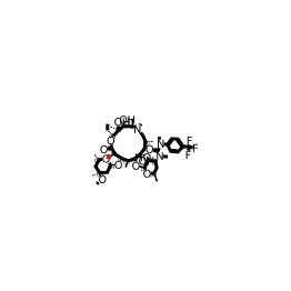 CC[C@H]1OC(=O)[C@H](C)[C@@H](O[C@H]2C[C@@](C)(OC)C[C@H](C)O2)[C@H](C)[C@@H](O[C@@H]2O[C@H](C)CC(N(C)C(=O)N(C)c3ccc(C(F)(F)F)cc3)[C@H]2O)[C@](C)(O)C[C@@H](C)CN(C)[C@H](C)[C@@H](O)[C@]1(C)O